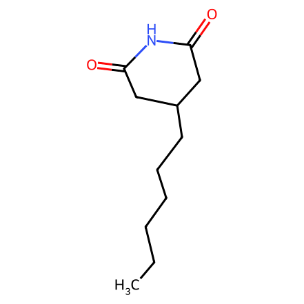 CCCCCCC1CC(=O)NC(=O)C1